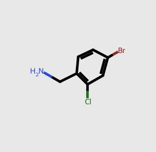 NCc1ccc(Br)cc1Cl